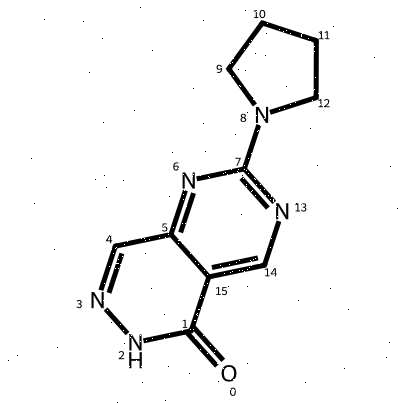 O=c1[nH]ncc2nc(N3CCCC3)ncc12